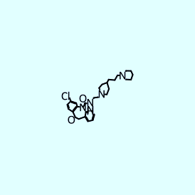 O=C1Cc2cccnc2N(C(=O)NCCN2CCC(CCCN3CCCCC3)CC2)c2cc(Cl)ccc21